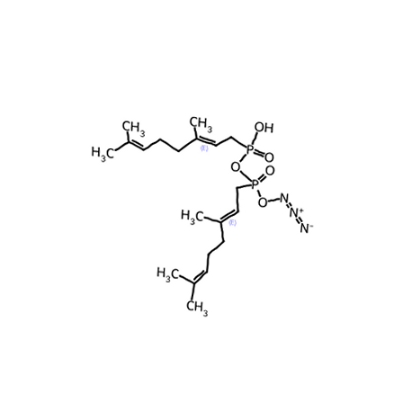 CC(C)=CCC/C(C)=C/CP(=O)(O)OP(=O)(C/C=C(\C)CCC=C(C)C)ON=[N+]=[N-]